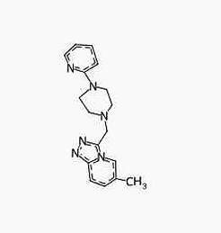 Cc1ccc2nnc(CN3CCN(c4ccccn4)CC3)n2c1